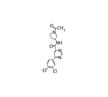 CC(=O)N1CCC(NC(=O)c2cc(-c3ccc(Cl)c(Cl)c3)ncn2)C1